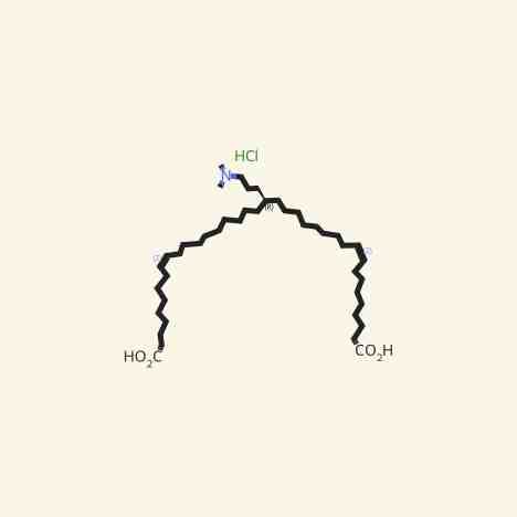 CN(C)CCC[C@@H](CCCCCCCC/C=C\CCCCCCCC(=O)O)CCCCCCCCC/C=C\CCCCCCCC(=O)O.Cl